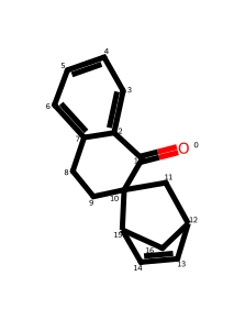 O=C1c2ccccc2CCC12CC1C=CC2C1